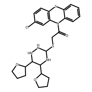 O=C(CSC1NNC(C2CCCO2)C(C2CCCO2)N1)N1c2ccccc2Sc2ccc(Cl)cc21